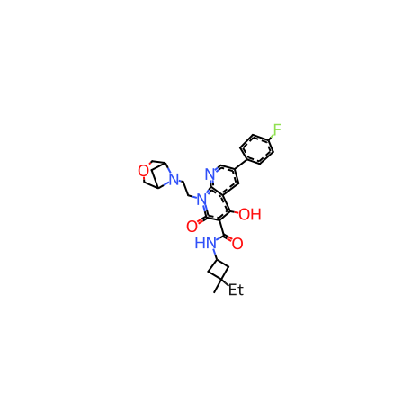 CCC1(C)CC(NC(=O)c2c(O)c3cc(-c4ccc(F)cc4)cnc3n(CCN3C4COCC3C4)c2=O)C1